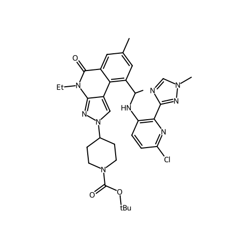 CCn1c(=O)c2cc(C)cc(C(C)Nc3ccc(Cl)nc3-c3ncn(C)n3)c2c2cn(C3CCN(C(=O)OC(C)(C)C)CC3)nc21